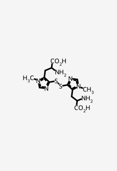 Cn1cnc(SSc2ncn(C)c2CC(N)C(=O)O)c1CC(N)C(=O)O